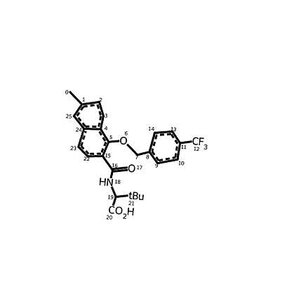 Cc1ccc2c(OCc3ccc(C(F)(F)F)cc3)c(C(=O)NC(C(=O)O)C(C)(C)C)ccc2c1